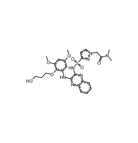 COc1cc(Nc2nc3ccccc3nc2NS(=O)(=O)c2ccn(CC(=O)N(C)C)n2)c(OCCCO)c(OC)c1